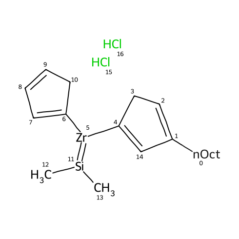 CCCCCCCCC1=CC[C]([Zr]([C]2=CC=CC2)=[Si](C)C)=C1.Cl.Cl